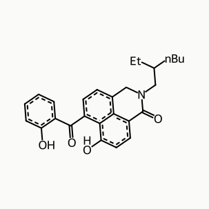 CCCCC(CC)CN1Cc2ccc(C(=O)c3ccccc3O)c3c(O)ccc(c23)C1=O